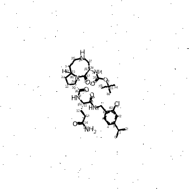 CC(C)c1ccc(CNC(=O)[C@H](CCC(N)=O)NC(=O)[C@@H]2CC[C@@H]3CCNC[C@H](NC(=O)OC(C)(C)C)C(=O)N32)c(Cl)c1